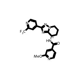 COc1cc(C(=O)N[C@H]2CCCn3nc(-c4ccnc(C(F)(F)F)c4)nc32)ccn1